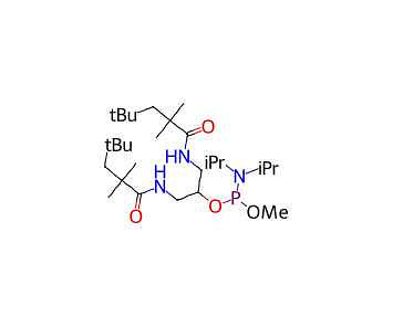 COP(OC(CNC(=O)C(C)(C)CC(C)(C)C)CNC(=O)C(C)(C)CC(C)(C)C)N(C(C)C)C(C)C